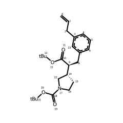 C=CCc1cccc(C[C@H](C(=O)OC(C)(C)C)[C@@H]2CCN(C(=O)OC(C)(C)C)C2)c1